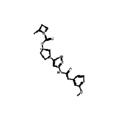 COc1cc(CC(=O)Nc2cc([C@H]3CC[C@@H](OC(=O)N4CCC4C)C3)[nH]n2)ccn1